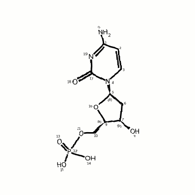 Nc1ccn([C@H]2C[C@@H](O)[C@@H](COP(=O)(O)O)O2)c(=O)n1